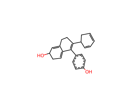 Oc1ccc(C2=C(C3C=CC=CC3)CCC3=CC(O)CC=C32)cc1